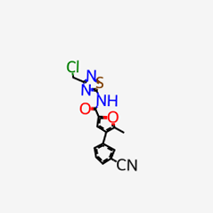 Cc1oc(C(=O)Nc2nc(CCl)ns2)cc1-c1cccc(C#N)c1